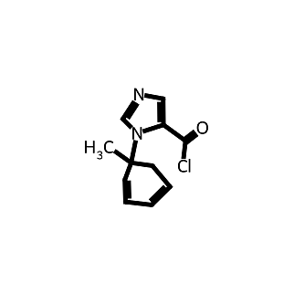 CC1(n2cncc2C(=O)Cl)C=CC=CC1